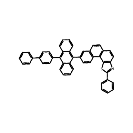 c1ccc(-c2ccc(-c3c4ccccc4c(-c4ccc5c(ccc6ccc7nc(-c8ccccc8)sc7c65)c4)c4ccccc34)cc2)cc1